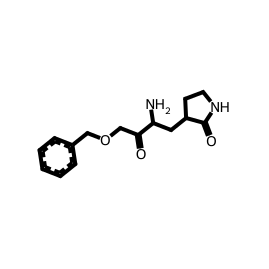 NC(CC1CCNC1=O)C(=O)COCc1ccccc1